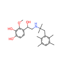 COc1c(C(O)CNC(C)(C)Cc2c(C)c(C)cc(C)c2C)ccc(O)c1O